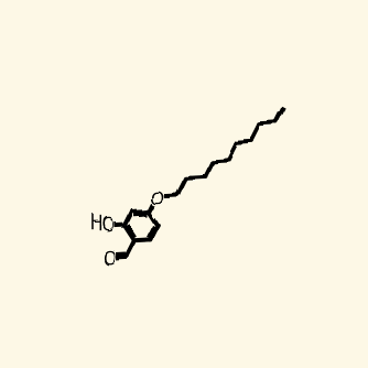 CCCCCCCCCCOc1ccc(C=O)c(O)c1